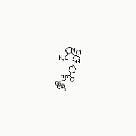 Cc1cccnc1-c1cc(N2CCC(C(=O)NCCS(C)(=O)=O)CC2)ncc1Cl